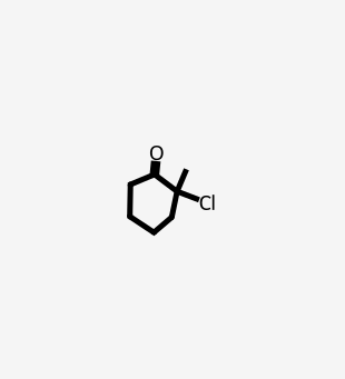 CC1(Cl)CCCCC1=O